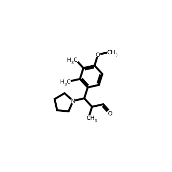 COc1ccc(C(C(C)C=O)N2CCCC2)c(C)c1C